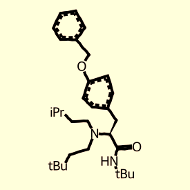 CC(C)CCN(CCC(C)(C)C)[C@@H](Cc1ccc(OCc2ccccc2)cc1)C(=O)NC(C)(C)C